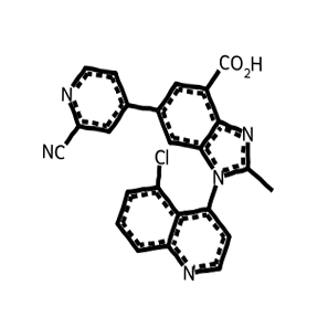 Cc1nc2c(C(=O)O)cc(-c3ccnc(C#N)c3)cc2n1-c1ccnc2cccc(Cl)c12